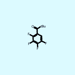 CC(C)(C)C(=O)c1cc(F)c(F)c(F)c1F